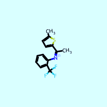 C/C(=N/c1ccccc1C(F)(F)F)c1ccc(C)s1